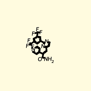 NC(=O)/C(=C/c1ccnc(-c2cc(C(F)(F)F)cc(C(F)(F)F)c2)n1)c1ccncc1